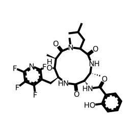 CC(C)CC1C(=O)N[C@H](C)[C@H](NC(=O)c2ccccc2O)C(=O)N[C@@H](Cc2c(F)nc(F)c(F)c2F)[C@@H](O)[C@@H](C)C(=O)N1C